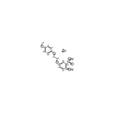 COc1ccc(OCCOc2ccc(O)c(C(=O)O)c2)cc1.[Zn]